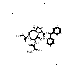 CN[C@@H](C)C(=O)N[C@H]1CN(C(=O)CC(C)(C)C)CC[C@H]2CC[C@@H](C(=O)NC(c3ccccc3)c3ccccc3)N2C1=O